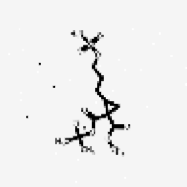 COC(=O)C1(C(=O)OC(C)(C)C)CC1CCCOS(N)(=O)=O